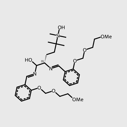 COCCOCOc1ccccc1C=NC(O)[C@H](CCC(C)(C)[Si](C)(C)O)N=Cc1ccccc1OCOCCOC